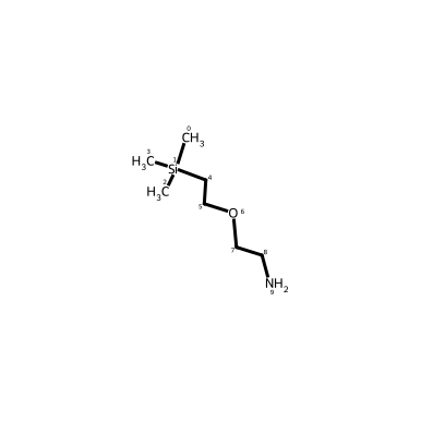 C[Si](C)(C)CCOCCN